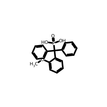 COc1ccccc1C(c1ccccc1)(c1ccccc1)P(=O)(O)O